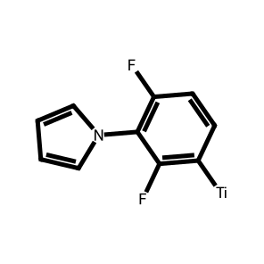 Fc1cc[c]([Ti])c(F)c1-n1cccc1